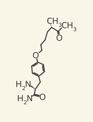 CC(=O)[C@@H](C)CCCCOc1ccc(C[C@H](N)C(N)=O)cc1